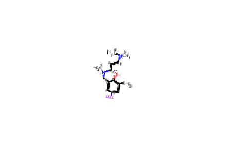 Cc1cc([123I])cc(CN(C)CCCN(C)C)c1O